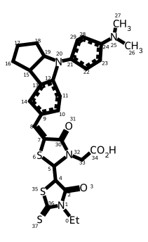 CCN1C(=O)C(C2S/C(=C/c3ccc4c(c3)C3CCCC3N4c3ccc(N(C)C)cc3)C(=O)N2CC(=O)O)SC1=S